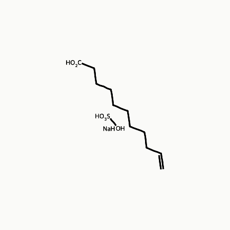 C=CCCCCCCCCC(=O)O.O=S(=O)(O)O.[NaH]